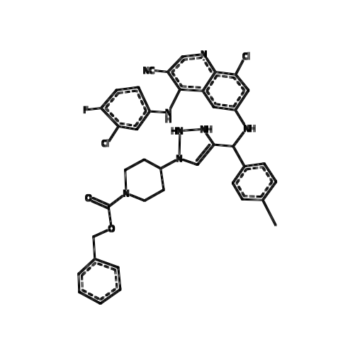 Cc1ccc(C(Nc2cc(Cl)c3ncc(C#N)c(Nc4ccc(F)c(Cl)c4)c3c2)C2=CN(C3CCN(C(=O)OCc4ccccc4)CC3)NN2)cc1